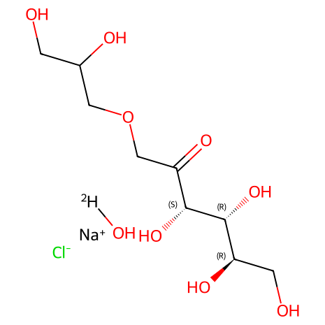 O=C(COCC(O)CO)[C@@H](O)[C@H](O)[C@H](O)CO.[2H]O.[Cl-].[Na+]